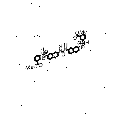 COC(=O)c1cccc(NS(=O)(=O)c2ccc3ccc(NC(=O)Nc4ccc5ccc(S(=O)(=O)Nc6cccc(C(=O)OC)c6)cc5c4)cc3c2)c1